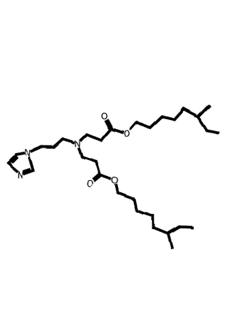 CCC(C)CCCCCOC(=O)CCN(CCCn1ccnc1)CCC(=O)OCCCCCC(C)CC